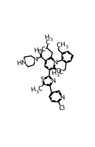 CCc1cccc(CC)c1-n1c(CC(C)C)c(C(=O)N2CCNCC2)cc(-c2nc(-c3ccc(Cl)nc3)c(C)s2)c1=O